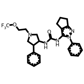 O=C(Nc1c2c(nn1-c1ccccc1)CCC2)NC1CN(CCOC(F)(F)F)CC1c1ccccc1